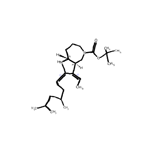 C/C=C1\C(=C/CC(C)CC(C)C)N[C@@H]2CCCN(C(=O)OC(C)(C)C)C[C@@H]12